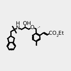 CCOC(=O)/C=C/c1cc(C)ccc1[C@@H](C)OC[C@H](O)CNC(C)(C)CC1Cc2ccccc2C1